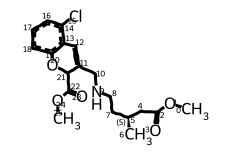 COC(=O)C[C@@H](C)CCNCC1=Cc2c(Cl)cccc2OC1C(=O)OC